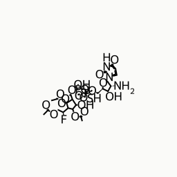 CC(=O)OC[C@H](F)C1C(OC(C)=O)C(O)C2C(OP(=O)(O)OP(=O)(S)OC[C@H]3O[C@@H](n4ccc(=O)[nH]c4=O)[C@H](N)[C@@H]3O)OC21OC(C)=O